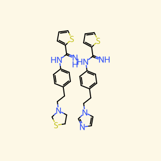 N=C(Nc1ccc(CCN2CCSC2)cc1)c1cccs1.N=C(Nc1ccc(CCn2ccnc2)cc1)c1cccs1